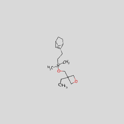 CCC1(CO[Si](C)(C)CCC2=CC3CCC2C3)COC1